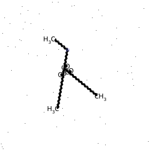 CCCCCCCCC/C=C\CCCCCCCC(=O)OC(COC(=O)CCCCCCCCCCCCCCCCCC)COC(=O)CCCCCCCCCCCCCCCCCCC